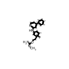 C/N=C(/N)OCCc1cc(Nc2cc(-c3ccccc3)ccn2)ccc1F